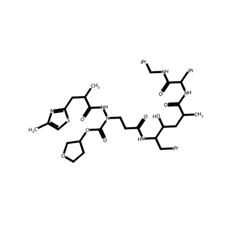 Cc1csc(CC(C)C(=O)NN(CCC(=O)NC(CC(C)C)C(O)CC(C)C(=O)NC(C(=O)NCC(C)C)C(C)C)C(=O)OC2CCOC2)n1